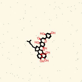 CC(C)=CCCC1=CC(c2c(O)cc3oc(-c4ccc(O)cc4O)cc(=O)c3c2O)C(C(=O)c2ccc(O)cc2O)C(c2ccc(O)cc2O)C1